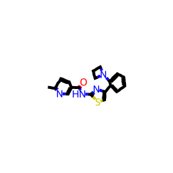 Cc1ccc(C(=O)Nc2nc(-c3ccccc3N3CCC3)cs2)cn1